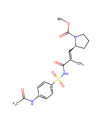 C/C(=C\[C@@H]1CCCN1C(=O)OC(C)(C)C)C(=O)NS(=O)(=O)c1ccc(NC(=O)C(F)(F)F)cc1